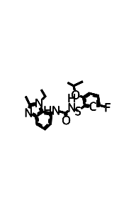 CCn1c(C)nc2cccc(NC(=O)NSc3cc(F)ccc3OC(C)C)c21